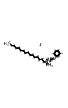 CCCCCCCCCCCCCCCC[N+](C)(C)CCOc1ccccc1.[I-]